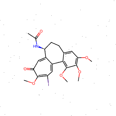 COc1cc2c(c(OC)c1OC)-c1cc(I)c(OC)c(=O)cc1[C@@H](NC(C)=O)CC2